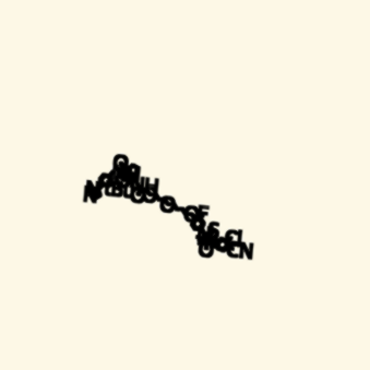 Cn1nccc1-c1ccc(CNC(=O)[C@@H]2CCCN2C(=O)[C@@H](NC(=O)COCCCOCCCCOc2ccc(N3C(=S)N(c4ccc(C#N)c(Cl)c4)C(=O)C3(C)C)cc2F)C(C)(C)C)cc1